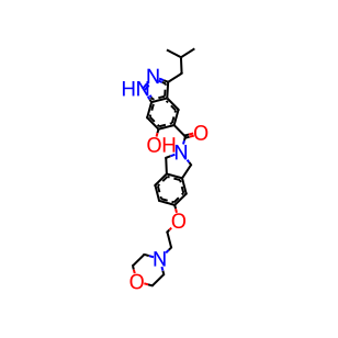 CC(C)Cc1n[nH]c2cc(O)c(C(=O)N3Cc4ccc(OCCN5CCOCC5)cc4C3)cc12